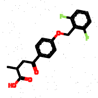 CC(CC(=O)c1ccc(OCc2c(F)cccc2F)cc1)C(=O)O